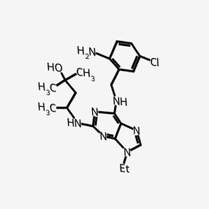 CCn1cnc2c(NCc3cc(Cl)ccc3N)nc(NC(C)CC(C)(C)O)nc21